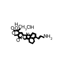 CCC1(O)C(=O)OCc2c1cc1n(c2=O)Cc2c-1nc1ccc(/C=C/CN)c3c1c2CCC3.Cl